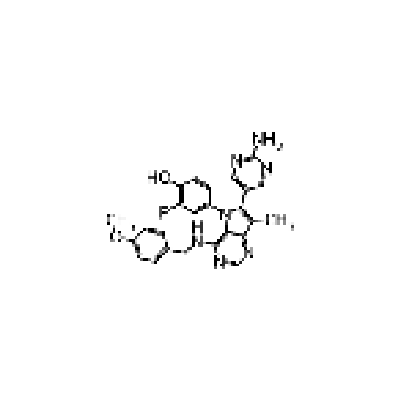 COc1ccc(CNc2ncnc3c(C)c(-c4cnc(N)nc4)n(-c4ccc(O)c(F)c4)c23)cc1